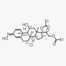 CCC(=O)OCC(=O)[C@@]1(OC(=O)CC)[C@H](C)C[C@H]2[C@H]3[C@H]([C@@H](O)C[C@@]21C)[C@@]1(C)C=C/C(=N/O)C=C1C[C@H]3Cl